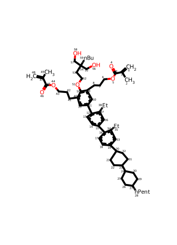 C=C(C)C(=O)OCCCc1cc(-c2ccc(-c3ccc(C4CCC(C5CCC(CCCCC)CC5)CC4)cc3CC)cc2CC)cc(CCCOC(=O)C(=C)C)c1OCCC(CO)(CO)CCCC